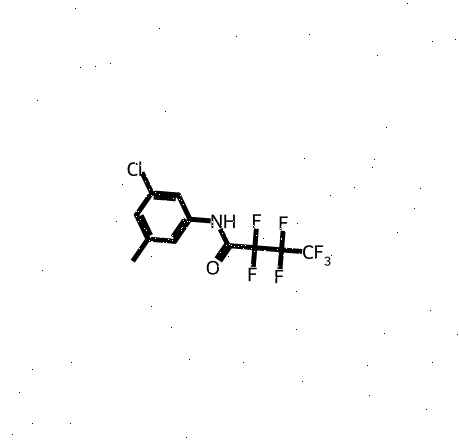 Cc1cc(Cl)cc(NC(=O)C(F)(F)C(F)(F)C(F)(F)F)c1